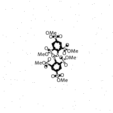 COS(=O)(=O)c1cc(S(=O)(=O)OC)c(SSc2c(S(=O)(=O)OC)cc(S(=O)(=O)OC)cc2S(=O)(=O)OC)c(S(=O)(=O)OC)c1